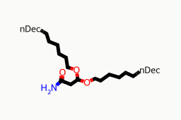 CCCCCCCCCCCCCCCCOC(CC(N)=O)OCCCCCCCCCCCCCCCC